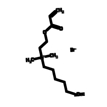 C=CC(=O)OCC[N+](C)(C)CCCCCCCCCCCCCCC.[Br-]